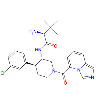 CC(C)(C)[C@H](N)C(=O)N[C@@H]1CN(C(=O)c2cccc3cncn23)CC[C@H]1c1cccc(Cl)c1